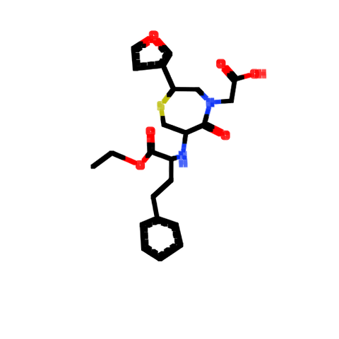 CCOC(=O)C(CCc1ccccc1)NC1CSC(c2ccoc2)CN(CC(=O)O)C1=O